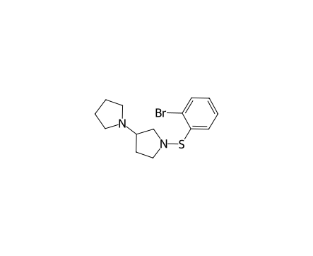 Brc1ccccc1SN1CCC(N2CCCC2)C1